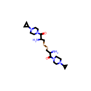 NC(CSSCC(N)C(=O)N1CCN(C2CC2)CC1)C(=O)N1CCN(C2CC2)CC1